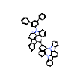 C=C1/C(=c2\c(=C/C)n(-c3cc(-c4ccccc4)cc(-c4ccccc4)c3)c3ccccc23)C(C(C)c2cccc(-n3c4ccccc4c4ccc5c6ccccc6n(-c6ccccc6)c5c43)c2)c2ccccc21